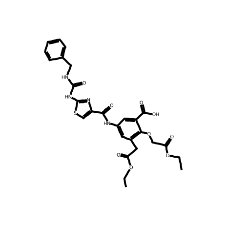 CCOC(=O)COc1c(CC(=O)OCC)cc(NC(=O)c2csc(NC(=O)NCc3ccccc3)n2)cc1C(=O)O